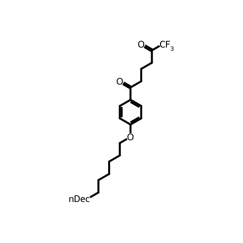 CCCCCCCCCCCCCCCCOc1ccc(C(=O)CCCC(=O)C(F)(F)F)cc1